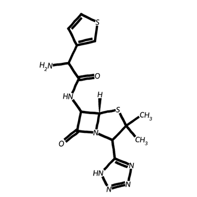 CC1(C)S[C@H]2C(NC(=O)C(N)c3ccsc3)C(=O)N2C1c1nnn[nH]1